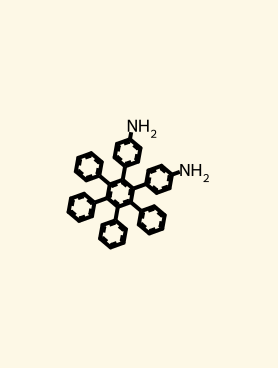 Nc1ccc(-c2c(-c3ccccc3)c(-c3ccccc3)c(-c3ccccc3)c(-c3ccccc3)c2-c2ccc(N)cc2)cc1